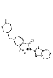 O=C(Nc1nc2ccccc2s1)c1ccc(CC2CCNCC2)cc1C(F)(F)F